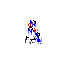 CC(C)n1cnnc1-c1cccc(NC(=O)c2cc(Oc3ncccn3)ccn2)n1